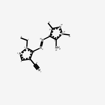 CCn1ncc(C#N)c1N=Nc1c(C)nn(C)c1N